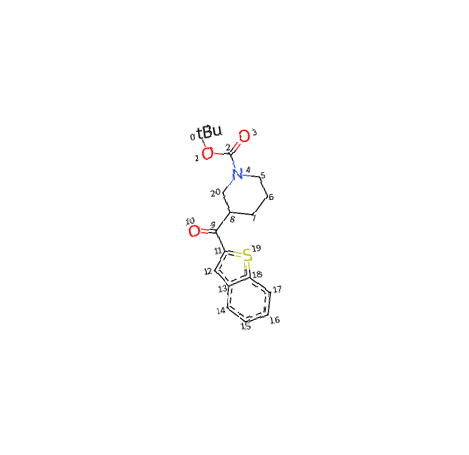 CC(C)(C)OC(=O)N1CCCC(C(=O)c2cc3ccccc3s2)C1